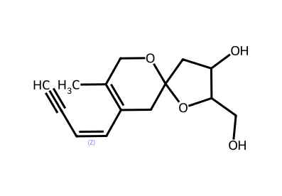 C#C/C=C\C1=C(C)COC2(C1)CC(O)C(CO)O2